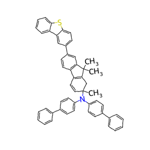 CC1(C)C2=C(C=CC(C)(N(c3ccc(-c4ccccc4)cc3)c3ccc(-c4ccccc4)cc3)C2)c2ccc(-c3ccc4sc5ccccc5c4c3)cc21